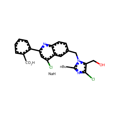 CCCCc1nc(Cl)c(CO)n1Cc1ccc2nc(-c3ccccc3C(=O)O)cc(Cl)c2c1.[NaH]